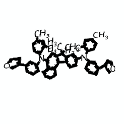 Cc1ccc(N(c2cccc(-c3ccoc3)c2)c2ccc3c(c2)C(C)(C)c2cc(N(c4cccc(-c5ccoc5)c4)c4ccc(C)cc4C)c4ccccc4c2-3)c(C)c1